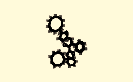 O=C(C1CC2(C3CCCCCCCC3)CCCCC2O1)N(CC1CCC(C2CCCCCCCCC2)S1)c1ccccc1